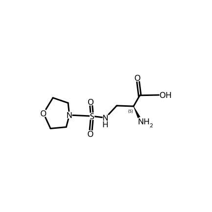 N[C@@H](CNS(=O)(=O)N1CCOCC1)C(=O)O